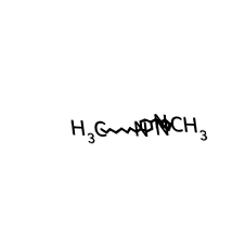 CCCCCCCCN1CCC(Cn2cc(C)cn2)CC1